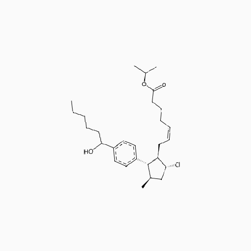 CCCCCC(O)c1ccc([C@@H]2[C@@H](C/C=C\CCCC(=O)OC(C)C)[C@H](Cl)C[C@H]2C)cc1